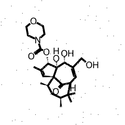 CC1=C[C@]23C(=O)[C@@H](C=C(CO)[C@@H](O)[C@]2(O)[C@H]1OC(=O)N1CCOCC1)C(C)(C)[C@@H](C)C[C@H]3C